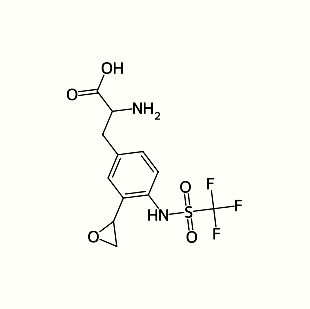 NC(Cc1ccc(NS(=O)(=O)C(F)(F)F)c(C2CO2)c1)C(=O)O